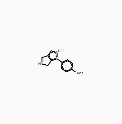 COc1ccc(-n2ncc3c2CNC3)cc1.Cl